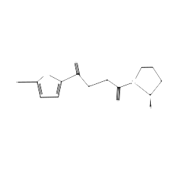 O=C(CCC(=O)N1CCC[C@H]1C(=O)O)c1ccc(Cl)s1